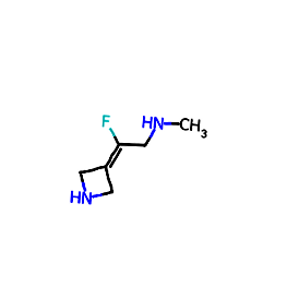 CNCC(F)=C1CNC1